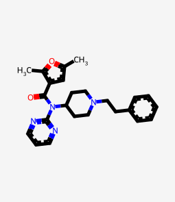 Cc1cc(C(=O)N(c2ncccn2)C2CCN(CCc3ccccc3)CC2)c(C)o1